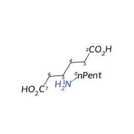 CCCCCN.O=C(O)CCCCC(=O)O